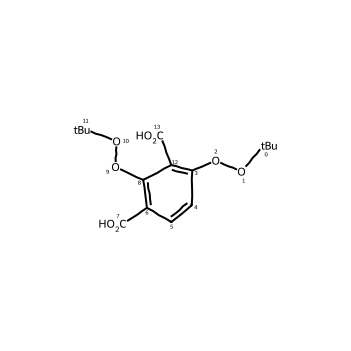 CC(C)(C)OOc1ccc(C(=O)O)c(OOC(C)(C)C)c1C(=O)O